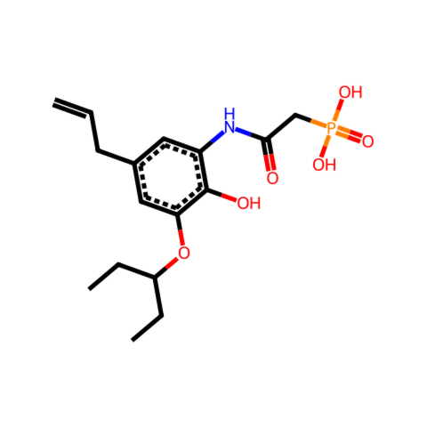 C=CCc1cc(NC(=O)CP(=O)(O)O)c(O)c(OC(CC)CC)c1